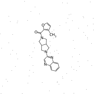 Cc1ccoc1C(=O)N1CC2CN(c3cnc4ccccc4n3)CC2C1